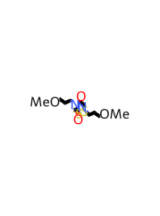 COCCCN1C(=O)C2SSC1C(=O)N2CCCOC